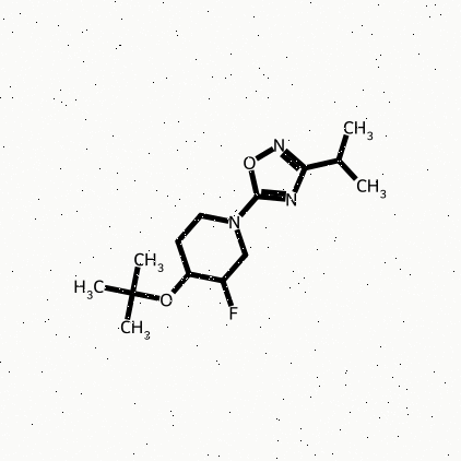 CC(C)c1noc(N2CCC(OC(C)(C)C)C(F)C2)n1